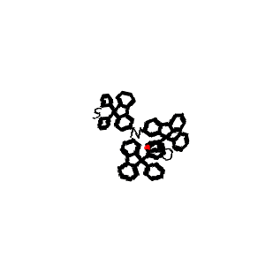 c1ccc(C2(c3ccccc3)c3ccccc3-c3ccc(N(c4ccc5c(c4)-c4ccccc4C54c5ccccc5Sc5ccccc54)c4ccc5c(c4)C4(c6ccccc6Oc6ccccc64)c4ccccc4-5)cc32)cc1